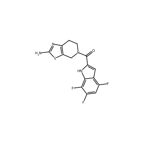 Nc1nc2c(s1)CN(C(=O)c1cc3c(F)cc(F)c(F)c3[nH]1)CC2